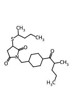 CCCC(C)SC1CC(=O)N(CC2CCC(C(=O)C(C)CCC)CC2)C1=O